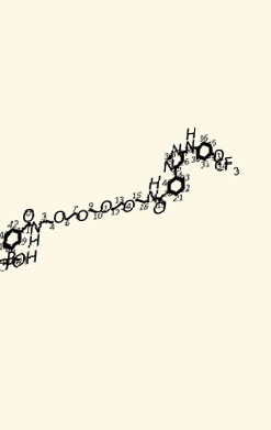 O=C(NCCOCCOCCOCCOCCNC(=O)c1cccc(-c2cc(Nc3ccc(OC(F)(F)F)cc3)ncn2)c1)c1cccc(B(O)O)c1